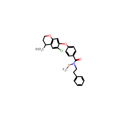 CCOC(=O)C1CCOc2cc(Oc3ccc(C(=O)N(CCc4ccccc4)SC(F)(F)F)cc3)c(Cl)cc21